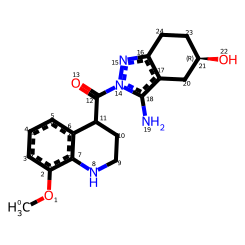 COc1cccc2c1NCCC2C(=O)n1nc2c(c1N)C[C@H](O)CC2